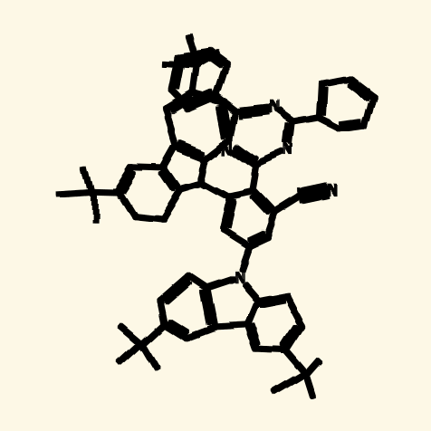 CC(C)(C)C1=CC2=C(CC1)C(c1cc(-n3c4ccc(C(C)(C)C)cc4c4cc(C(C)(C)C)ccc43)cc(C#N)c1-c1nc(C3=CC=C=C=C3)nc(-c3ccccc3)n1)c1ccc(C(C)(C)C)cc12